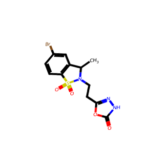 CC1c2cc(Br)ccc2S(=O)(=O)N1CCc1n[nH]c(=O)o1